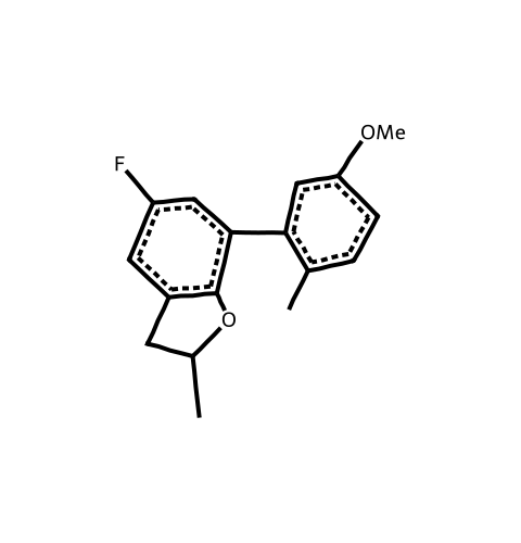 COc1ccc(C)c(-c2cc(F)cc3c2OC(C)C3)c1